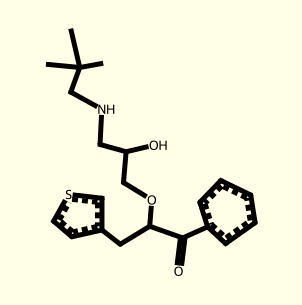 CC(C)(C)CNCC(O)COC(Cc1ccsc1)C(=O)c1ccccc1